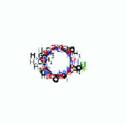 CC[C@H](C)[C@@H]1NC(=O)[C@H](CC(C)C)N(C)C(=O)C[C@@H](C(=O)N2CCCCC2)N(C)C(=O)C(C2CCCCC2)N(C)C(=O)C2(CCCC2)NC(=O)N(C)C(=O)[C@@H](CCc2ccc(C(F)(F)F)c(Cl)c2)NC(=O)CN(C)C(=O)[C@H](CC2CCCCC2)N(C)C(=O)CN(C)C(=O)CN(C)C1=O